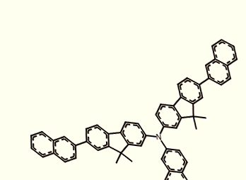 CC1(C)c2cc(-c3ccc4ccccc4c3)ccc2-c2ccc(N(c3ccc4c(c3)C(C)(C)c3cc(-c5ccc6ccccc6c5)ccc3-4)c3ccc4ccccc4c3)cc21